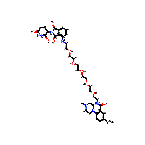 COc1ccc(N2CCN(C)CC2)c(C(=O)NCCOCCOCCOCCOCCOCCNc2cccc3c2C(=O)N(C2CCC(=O)NC2=O)C3=O)c1